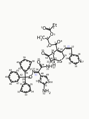 CCC(=O)OC(C)OC(=O)C1=C(/C=C\c2cccnc2)CS[C@@H]2[C@H](NC(=O)/C(=N/OC(c3ccccc3)(c3ccccc3)c3ccccc3)c3csc(N)n3)C(=O)N12